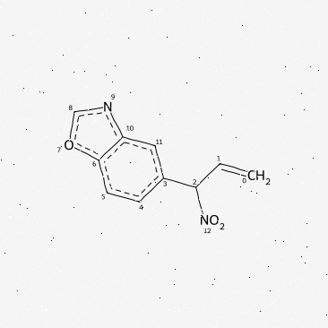 C=CC(c1ccc2ocnc2c1)[N+](=O)[O-]